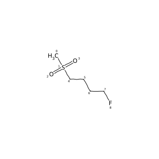 CS(=O)(=O)CCCCF